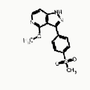 COc1nccc2[nH]nc(-c3ccc(S(C)(=O)=O)cc3)c12